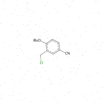 CC(C)COc1ccc(C#N)cc1CCl